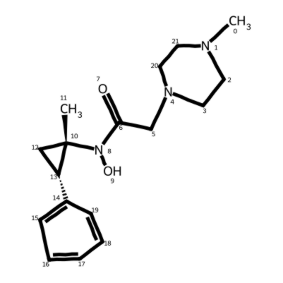 CN1CCN(CC(=O)N(O)[C@@]2(C)C[C@H]2c2ccccc2)CC1